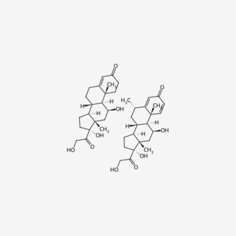 C[C@H]1C[C@@H]2[C@H]([C@@H](O)C[C@@]3(C)[C@H]2CC[C@]3(O)C(=O)CO)[C@@]2(C)C=CC(=O)C=C12.C[C@]12CCC(=O)C=C1CC[C@@H]1[C@@H]2[C@@H](O)C[C@@]2(C)[C@H]1CC[C@]2(O)C(=O)CO